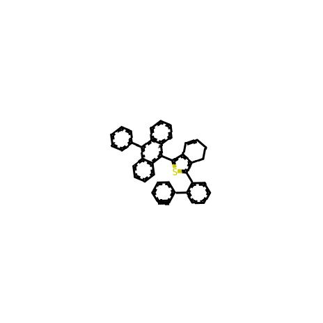 c1cccc(-c2ccccc2-c2sc(-c3c4ccccc4c(-c4ccccc4)c4ccccc34)c3c2CCC=C3)c#1